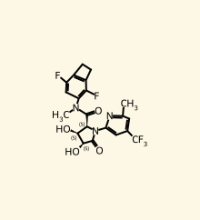 Cc1cc(C(F)(F)F)cc(N2C(=O)[C@@H](O)[C@@H](O)[C@H]2C(=O)N(C)c2cc(F)c3c(c2F)CC3)n1